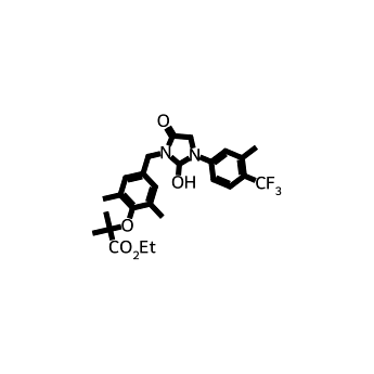 CCOC(=O)C(C)(C)Oc1c(C)cc(CN2C(=O)CN(c3ccc(C(F)(F)F)c(C)c3)C2O)cc1C